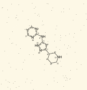 c1cnc(Nc2cc(C3CCCNC3)n[nH]2)nc1